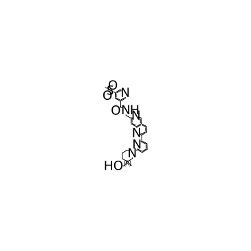 C[C@@]1(CO)CCCN(c2cccc(-c3ccc4cnc(CNC(=O)c5cncc(S(C)(=O)=O)c5)cc4n3)n2)C1